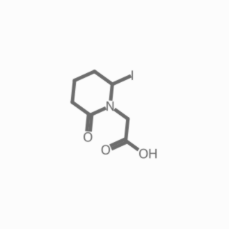 O=C(O)CN1C(=O)CCCC1I